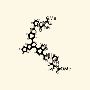 COC(=O)N[C@H](C(=O)N1CCC[C@H]1c1ncc(-c2ccc(-c3sc(-c4ccc5nc([C@@H]6CCCN6C(=O)[C@@H](NC(=O)OC)C(C)C)[nH]c5c4)c4c3CC3(CCCC3)C4)c3cnoc23)[nH]1)C(C)C